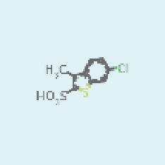 Cc1c(S(=O)(=O)O)sc2cc(Cl)ccc12